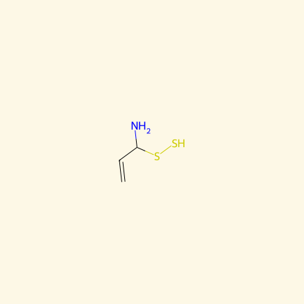 C=CC(N)SS